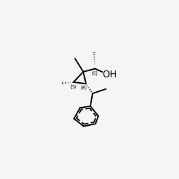 CC(c1ccccc1)[C@@H]1[C@H](C)C1(C)[C@H](C)O